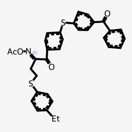 CCc1ccc(SCC/C(=N\OC(C)=O)C(=O)c2ccc(Sc3ccc(C(=O)c4ccccc4)cc3)cc2)cc1